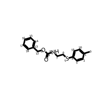 Cc1ccc(SCCNC(=O)OCc2ccccc2)cc1